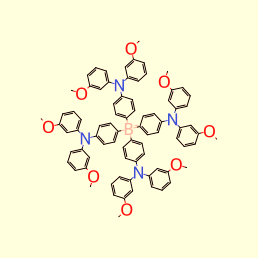 COc1cccc(N(c2ccc([B-](c3ccc(N(c4cccc(OC)c4)c4cccc(OC)c4)cc3)(c3ccc(N(c4cccc(OC)c4)c4cccc(OC)c4)cc3)c3ccc(N(c4cccc(OC)c4)c4cccc(OC)c4)cc3)cc2)c2cccc(OC)c2)c1